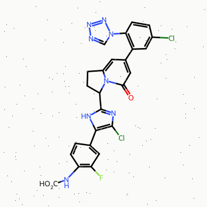 O=C(O)Nc1ccc(-c2[nH]c(C3CCc4cc(-c5cc(Cl)ccc5-n5cnnn5)cc(=O)n43)nc2Cl)cc1F